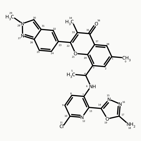 Cc1cc(C(C)Nc2ccc(Cl)nc2-c2nnc(N)o2)c2oc(-c3ccc4nn(C)cc4c3)c(C)c(=O)c2c1